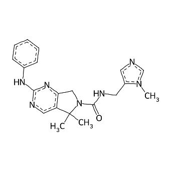 Cn1cncc1CNC(=O)N1Cc2nc(Nc3ccccc3)ncc2C1(C)C